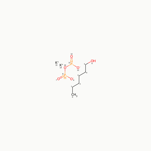 CCCCCCO.O=[PH]([O-])O[PH](=O)[O-].[K+].[K+]